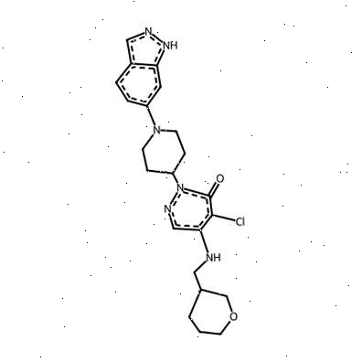 O=c1c(Cl)c(NCC2CCCOC2)cnn1C1CCN(c2ccc3cn[nH]c3c2)CC1